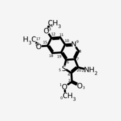 COC(=O)c1sc2c(cnc3cc(OC)c(OC)cc32)c1N